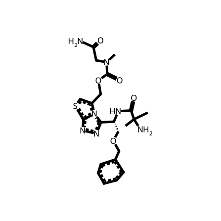 CN(CC(N)=O)C(=O)OCc1csc2nnc([C@@H](COCc3ccccc3)NC(=O)C(C)(C)N)n12